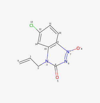 C=CCn1c(=O)n[n+]([O-])c2ccc(Cl)cc21